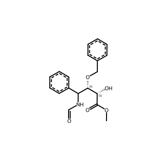 COC(=O)[C@@H](O)[C@@H](OCc1ccccc1)C(NC=O)c1ccccc1